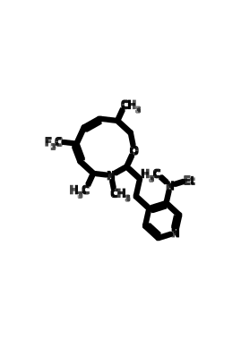 CCN(C)c1cnccc1CCC1OCC(C)/C=C\C(C(F)(F)F)=C/C(C)N1C